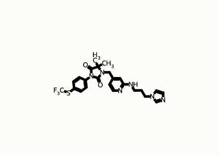 CC1(C)C(=O)N(c2ccc(SC(F)(F)F)cc2)C(=O)N1Cc1ccnc(NCCCn2ccnc2)c1